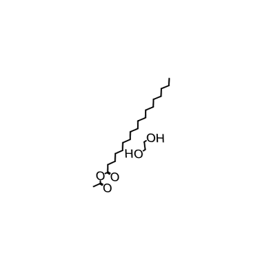 CCCCCCCCCCCCCCCCCC(=O)OC(C)=O.OCCO